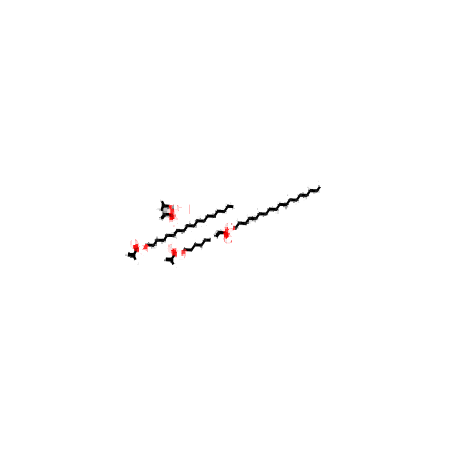 C=C(C)C(=O)OCCCCCC.C=C(C)C(=O)OCCCCCCCCCCCCCCCCCC.C=CC(=O)O.C=CC(=O)OCCCCCCCCCCCCCCCCCC.CC(C)C